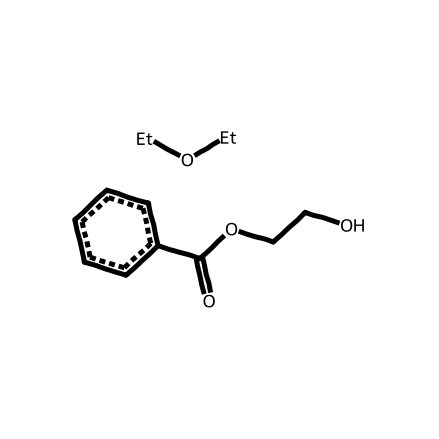 CCOCC.O=C(OCCO)c1ccccc1